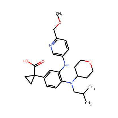 COCc1ccc(Nc2cc(C3(C(=O)O)CC3)ccc2N(CC(C)C)C2CCOCC2)cn1